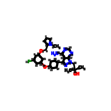 Cn1cccc1COc1cc(F)cc(Oc2ccc(-c3nn(CC(C)(C)O)c4ncnc(N)c34)cc2)c1